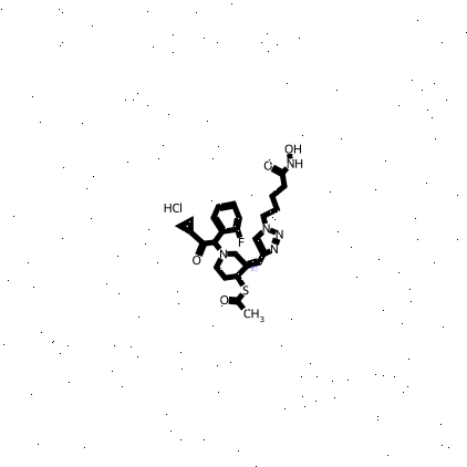 CC(=O)SC1CCN(C(C(=O)C2CC2)c2ccccc2F)C/C1=C\c1cn(CCCCC(=O)NO)nn1.Cl